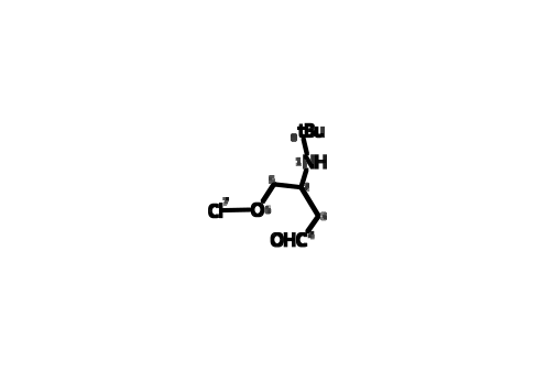 CC(C)(C)NC(CC=O)COCl